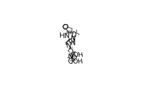 CC(C)O[C@H]1Cc2ccccc2[C@H]1Nc1ncnc2c1ccn2[C@H]1C[C@H](O)[C@@H](N(C)S(=O)(=O)O)C1